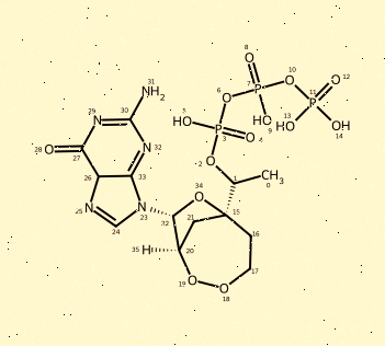 CC(OP(=O)(O)OP(=O)(O)OP(=O)(O)O)[C@]12CCOO[C@H](C1)[C@H](N1C=NC3C(=O)N=C(N)N=C31)O2